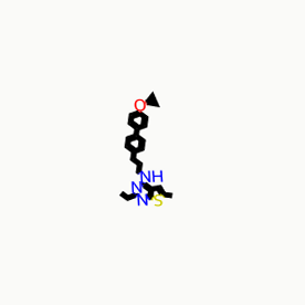 CCc1nc(NCCCc2ccc(-c3ccc(OC4CC4)cc3)cc2)c2cc(C)sc2n1